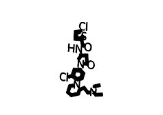 CCN(CC)CCC1CCCCN1c1ccc(N2CC(NC(=O)c3ccc(Cl)s3)CC2=O)cc1Cl